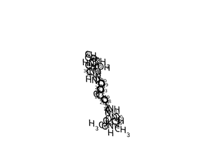 COC(=O)N[C@@H]1C(=O)N2[C@H](CC[C@H]2c2ncc(-c3ccc4c(c3)COc3cc5c(ccc6nc([C@@H]7CC[C@H](C)N7C(=O)[C@@H](NC(=O)OC)[C@@H](C)O)[nH]c65)cc3-4)[nH]2)CC1C